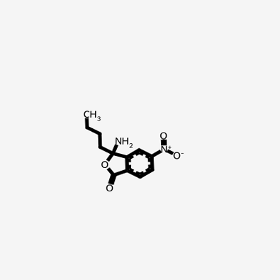 CCCCC1(N)OC(=O)c2ccc([N+](=O)[O-])cc21